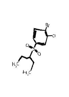 CCC(CC)S(=O)(=O)c1ccc(Br)c(Cl)c1